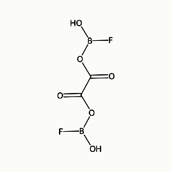 O=C(OB(O)F)C(=O)OB(O)F